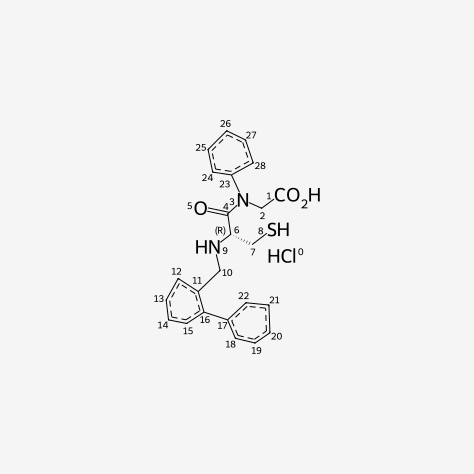 Cl.O=C(O)CN(C(=O)[C@H](CS)NCc1ccccc1-c1ccccc1)c1ccccc1